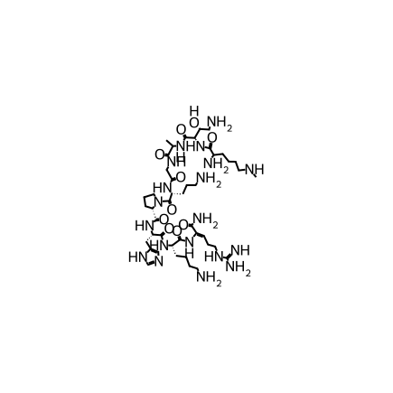 CNCCCCC(N)C(=O)N[C@H](C(=O)NC(C)C(=O)NCC(=O)N[C@H](CCCN)C(=O)N1CCC[C@H]1C(=O)N[C@@H](Cc1cnc[nH]1)C(=O)N[C@@H](CCCCN)C(=O)N/C(=C\CCNC(=N)N)C(N)=O)[C@@H](O)CN